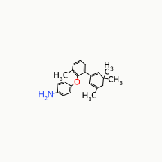 CC1=CC(c2cccc(C)c2Oc2ccc(N)cc2)=CC(C)(C)C1